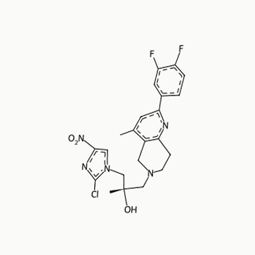 Cc1cc(-c2ccc(F)c(F)c2)nc2c1CN(C[C@](C)(O)Cn1cc([N+](=O)[O-])nc1Cl)CC2